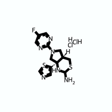 Cl.Cl.NC1N[C@@]2(c3cncs3)CN(c3ncc(F)cn3)C[C@H]2CS1